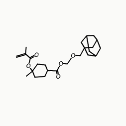 C=C(C)C(=O)OC1(C)CCC(C(=O)OCOCC23CC4CC(CC(C4)C2)C3)CC1